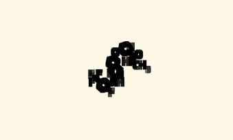 CNC(=O)c1cc(Oc2ccc3nc(Nc4cc(C(F)(F)F)ccc4F)ncc3c2)ccn1